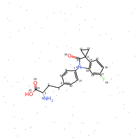 N[C@@H](CCc1ccc(N2C(=O)C3(CC3)c3ccc(F)cc32)cc1)C(=O)O